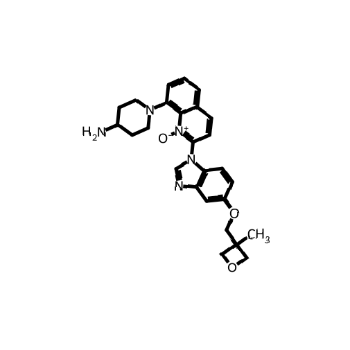 CC1(COc2ccc3c(c2)ncn3-c2ccc3cccc(N4CCC(N)CC4)c3[n+]2[O-])COC1